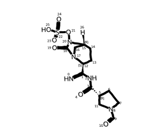 N=C(NC(=O)[C@@H]1CCN(C=O)C1)[C@@H]1CC[C@@H]2CN1C(=O)N2OS(=O)(=O)O